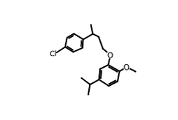 COc1ccc(C(C)C)cc1OCCC(C)c1ccc(Cl)cc1